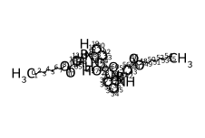 CCCCCCCCOC(=O)c1ccc(BNc2cccc3ccc(C4=C(O)/C(=c5\ccc6cccc7c6c5=NB(c5ccc(C(=O)OCCCCCCCC)cc5)N7)C4=O)c(N)c23)cc1